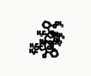 COc1ccccc1C(=O)C(C)(C[PH](=O)CC(C)(CC(C)(C)C)C(=O)c1ccccc1OC)CC(C)(C)C